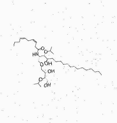 CCC/C=C\C/C=C\CC(=O)N[C@@H](COC[C@H](O)[C@H](CO)OC(C)C)[C@H](OC(C)C)[C@H](O)CCCCCCCCCCCCCC